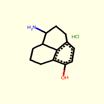 Cl.NC1CCc2ccc(O)c3c2C1CCC3